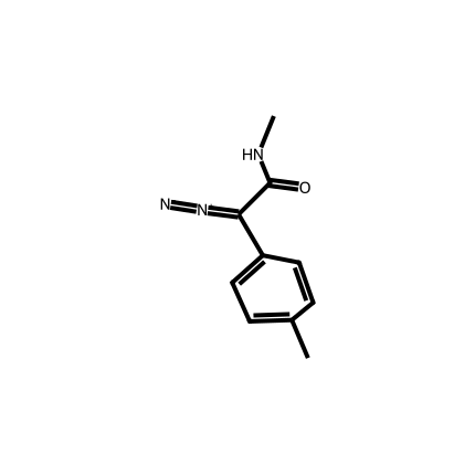 CNC(=O)C(=[N+]=[N-])c1ccc(C)cc1